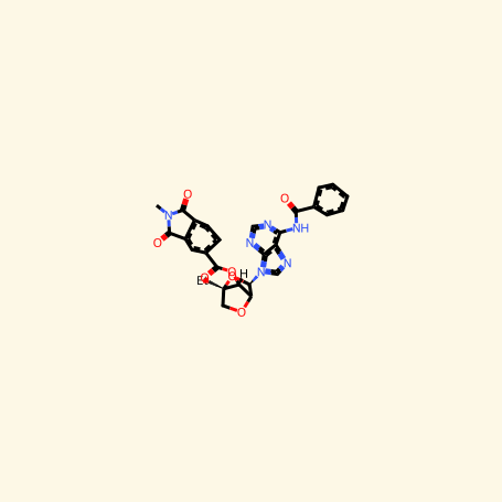 CC[C@@]12COC([C@H](n3cnc4c(NC(=O)c5ccccc5)ncnc43)O1)[C@H]2OC(=O)c1ccc2c(c1)C(=O)N(C)C2=O